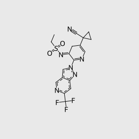 CCS(=O)(=O)N=C1CC(C2(C#N)CC2)=CN=C1n1cc2cnc(C(F)(F)F)cc2n1